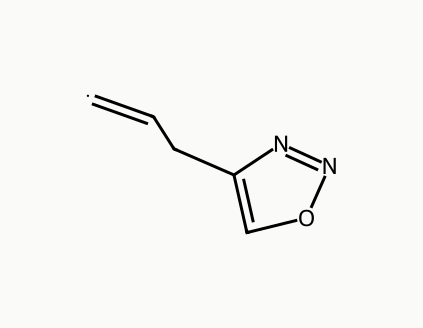 [CH]=CCc1conn1